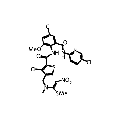 COc1cc(Cl)cc(C(=O)Nc2ccc(Cl)cn2)c1NC(=O)c1scc(CN(C)C(=C[N+](=O)[O-])SC)c1Cl